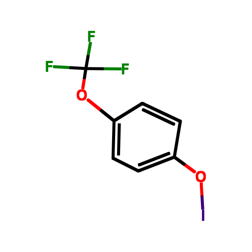 FC(F)(F)Oc1ccc(OI)cc1